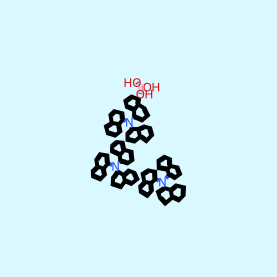 OB(O)O.c1ccc2c(N(c3cccc4ccccc34)c3cccc4ccccc34)cccc2c1.c1ccc2c(N(c3cccc4ccccc34)c3cccc4ccccc34)cccc2c1.c1ccc2c(N(c3cccc4ccccc34)c3cccc4ccccc34)cccc2c1